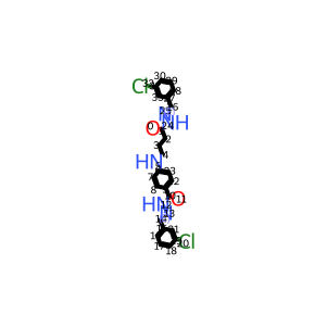 O=C(CCCNc1ccc(C(=O)N/N=C/c2cccc(Cl)c2)cc1)N/N=C/c1cccc(Cl)c1